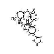 O=[SH](=O)NC1(Cc2ccc(Cl)c(Nc3nc4cc(N5CCCC5)ccc4[nH]3)c2)CC1